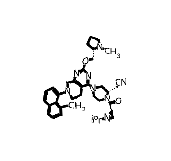 Cc1cccc2cccc(N3CCc4c(nc(OC[C@@H]5CCCN5C)nc4N4CCN(C(=O)[C@H]5CN5C(C)C)[C@@H](CC#N)C4)C3)c12